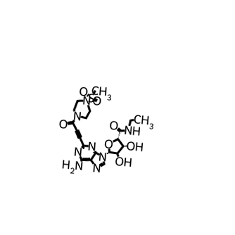 CCNC(=O)[C@H]1O[C@@H](n2cnc3c(N)nc(C#CC(=O)N4CCN(S(C)(=O)=O)CC4)nc32)C(O)[C@H]1O